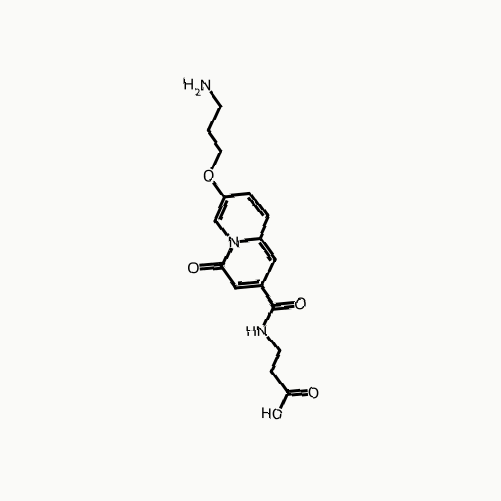 NCCCOc1ccc2cc(C(=O)NCCC(=O)O)cc(=O)n2c1